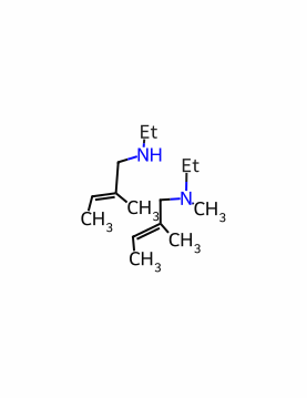 C/C=C(\C)CN(C)CC.C/C=C(\C)CNCC